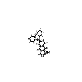 c1ccc2c(c1)c1ccccc1n2-c1ccc2cc3[nH]ccc3cc2c1